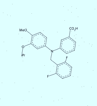 COc1ccc(N(Cc2c(F)cccc2F)c2cccc(C(=O)O)c2)cc1OC(C)C